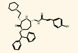 CC(C)c1ccc(C=CC(=O)NC[C@@H]2CCN(CC(c3ccccc3)c3ccccc3)C(=O)[C@H](CCN3CCCCC3)N2)cc1